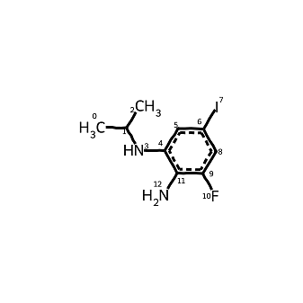 CC(C)Nc1cc(I)cc(F)c1N